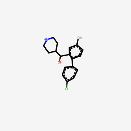 N#Cc1ccc(-c2ccc(Cl)cc2)c(C(O)C2CCNCC2)c1